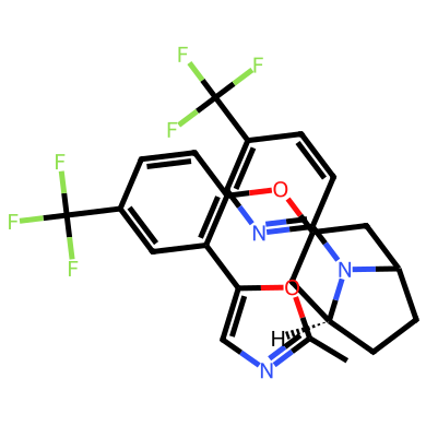 Cc1ncc(-c2cc(C(F)(F)F)ccc2OC2CC3CC[C@@H](C2)N3c2ccc(C(F)(F)F)cn2)o1